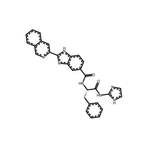 O=C(N[C@@H](Cc1ccccc1)C(=O)Nc1ncc[nH]1)c1ccc2[nH]c(-c3cc4ccccc4cn3)nc2c1